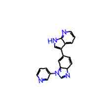 C1=CC2N=C[N+](c3cccnc3)=C2C=C1c1c[nH]c2ncccc12